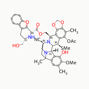 COc1c(C)cc2c(c1O)[C@H]1C3[C@H](SC)c4c(OC(C)=O)c(C)c5c(c4[C@H](COC(=O)[C@@H]4N[C@H](CO)Cc6c4oc4ccccc64)N3[C@@]3(C#N)CN1C2(C)C3)OCO5